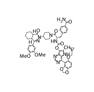 COc1ccc(C2=NN(C3CCN(C(=O)[C@@H](Cc4ccc(C(N)=O)cc4)NC(=O)Oc4c(C)[nH]c5c(-c6c(OCC7CC7)ccc7c6OCO7)ncnc45)CC3)C(=O)[C@@H]3CCCC[C@H]23)cc1OC